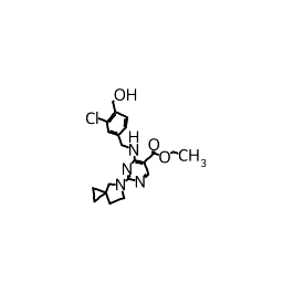 CCOC(=O)c1cnc(N2CCC3(CC3)C2)nc1NCc1ccc(CO)c(Cl)c1